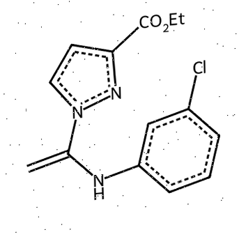 C=C(Nc1cccc(Cl)c1)n1ccc(C(=O)OCC)n1